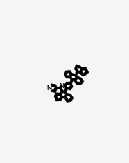 c1ccc2c(-c3c4ccccc4c(-c4ccc5c(c4)nc(-c4ccncc4)c4c6ccccc6c6ccccc6c54)c4ccccc34)cccc2c1